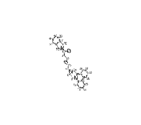 O=C(CCOCCN1CCN(c2ccccc2-c2ccccc2)CC1)N1Cc2ccccc2C1